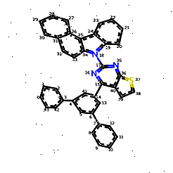 c1ccc(-c2cc(-c3ccccc3)cc(-c3nc(-n4c5ccccc5c5c6ccccc6ccc54)nc4sccc34)c2)cc1